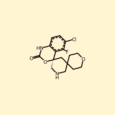 O=C1Nc2ccc(Cl)c(F)c2[C@]2(CNCC3(CCOCC3)C2)O1